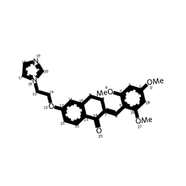 COc1cc(OC)c(C=C2CCc3cc(OCCn4ccnc4)ccc3C2=O)c(OC)c1